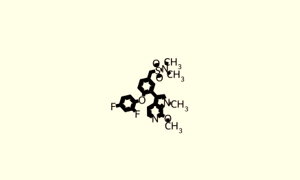 COc1nccc2c(-c3cc(CS(=O)(=O)N(C)C)ccc3Oc3ccc(F)cc3F)cn(C)c12